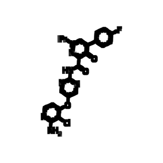 CC(C)n1cc(-c2ccc(F)cc2)c(=O)c(C(=O)Nc2ncc(Oc3ccnc(N)c3Cl)cn2)n1